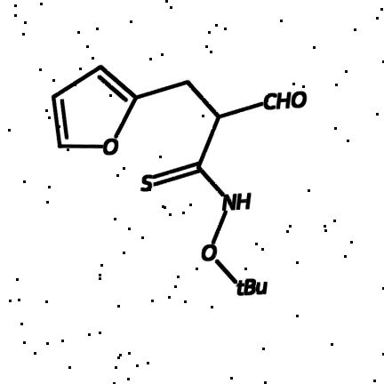 CC(C)(C)ONC(=S)C(C=O)Cc1ccco1